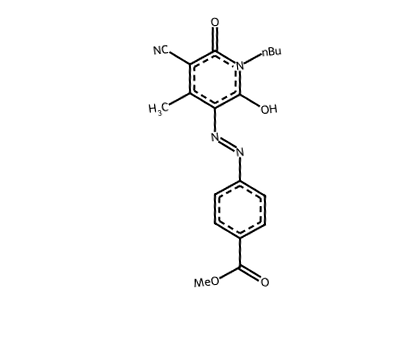 CCCCn1c(O)c(/N=N/c2ccc(C(=O)OC)cc2)c(C)c(C#N)c1=O